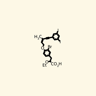 CCOC(Cc1ccc(OCC=C(C)C#Cc2cc(I)cc(I)c2)c(Br)c1)C(=O)O